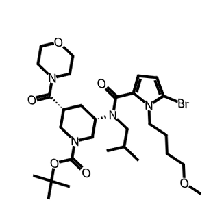 COCCCCn1c(Br)ccc1C(=O)N(CC(C)C)[C@H]1C[C@@H](C(=O)N2CCOCC2)CN(C(=O)OC(C)(C)C)C1